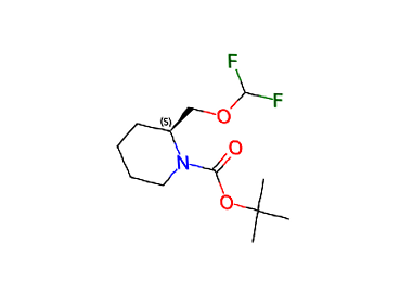 CC(C)(C)OC(=O)N1CCCC[C@H]1COC(F)F